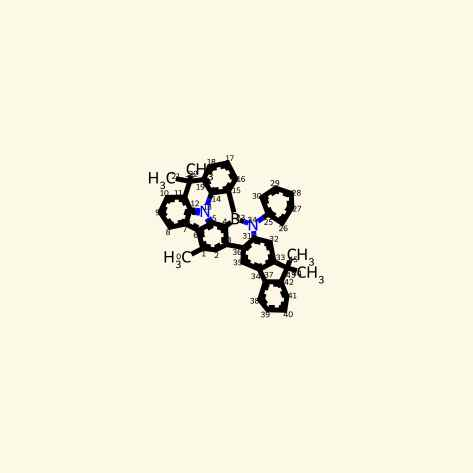 Cc1cc2c3c4c1c1cccc5c1n4-c1c(cccc1C5(C)C)B3N(c1ccccc1)c1cc3c(cc1-2)-c1ccccc1C3(C)C